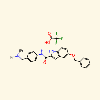 CC(C)N(Cc1ccc(NC(=O)c2cc3cc(OCc4ccccc4)ccc3[nH]2)cc1)C(C)C.O=C(O)C(F)(F)F